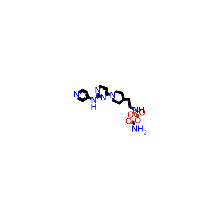 NC(=O)OS(=O)(=O)NCCC1CCN(c2ccnc(Nc3ccncc3)n2)CC1